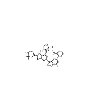 COc1ccncc1-c1cc2c(cnn2-c2cc3c(nc(N4CCN(C)C(C)(C)C4)n3C)c(N3C[C@H]4C[C@@H]3CO4)n2)c(C)n1